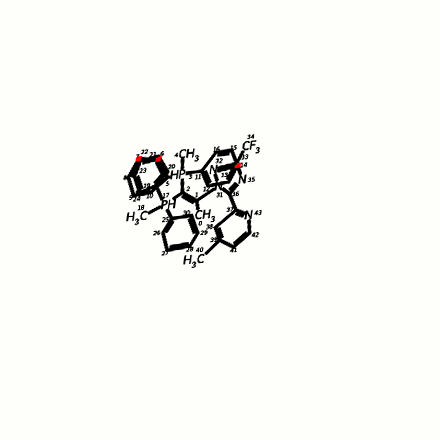 CC(=C([PH](C)(c1ccccc1)c1ccccc1)[PH](C)(c1ccccc1)c1ccccc1)n1nc(C(F)(F)F)nc1-c1cc(C)ccn1